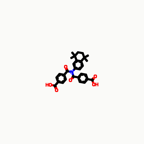 CC1(C)CCC(C)(C)c2cc(N(C(=O)c3ccc(C(=O)O)cc3)C(=O)c3ccc(C(=O)O)cc3)ccc21